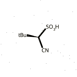 CC(C)(C)[C@H](C#N)S(=O)(=O)O